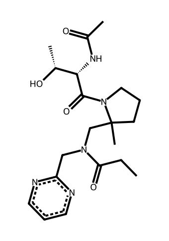 CCC(=O)N(Cc1ncccn1)CC1(C)CCCN1C(=O)[C@@H](NC(C)=O)[C@@H](C)O